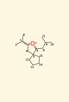 CC(C)=CCC1(C(=O)CC(C)C)CCCC1